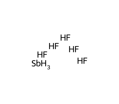 F.F.F.F.F.[SbH3]